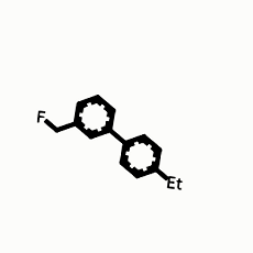 CCc1ccc(-c2cccc(CF)c2)cc1